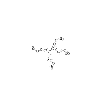 COOCC[C@H]1CCC([C@H]2CC[C@H]([C@H](C)CC(C)C[C@@H](CC[C@@H](C)CCCC(C)[C@H]3CC[C@H](C4CC[C@H](CC(=O)OC)C4)C3)CC[C@H](CC[C@@H](C)CCC[C@@H](C)[C@H]3CC[C@H](C4CC[C@H](CC(=O)OC)C4)C3)CC(C)C[C@@H](C)[C@H]3CC[C@H](C4CC[C@H](CCOOC)C4)C3)C2)C1